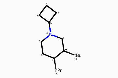 CCCC1CCN(C2CCC2)CC1C(C)(C)C